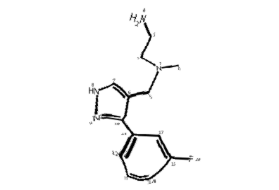 CN(CCN)Cc1c[nH]nc1-c1cccc(F)c1